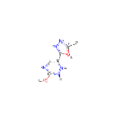 COc1ncc(-c2nnc(C)o2)nn1